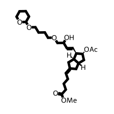 COC(=O)CCC/C=C1\C[C@H]2C[C@@H](OC(C)=O)[C@H](C=CC(O)COCCCCOC3CCCCO3)[C@@H]2C1